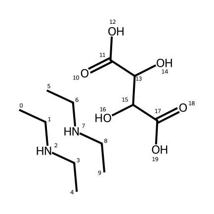 CCNCC.CCNCC.O=C(O)C(O)C(O)C(=O)O